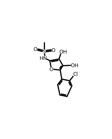 CS(=O)(=O)Nc1oc(-c2ccccc2Cl)c(O)c1O